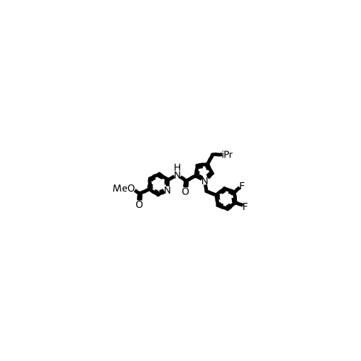 COC(=O)c1ccc(NC(=O)c2cc(CC(C)C)cn2Cc2ccc(F)c(F)c2)nc1